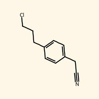 N#CCc1ccc(CCCCl)cc1